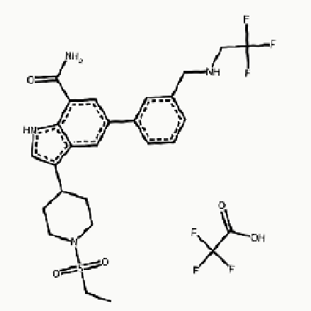 CCS(=O)(=O)N1CCC(c2c[nH]c3c(C(N)=O)cc(-c4cccc(CNCC(F)(F)F)c4)cc23)CC1.O=C(O)C(F)(F)F